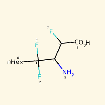 CCCCCCC(F)(F)C(N)C(F)C(=O)O